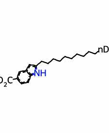 CCCCCCCCCCCCCCCCCCCCc1cc2cc(C(=O)O)ccc2[nH]1